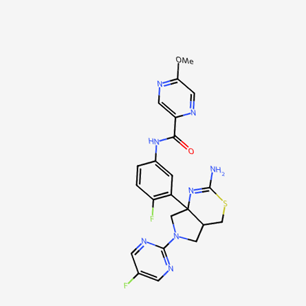 COc1cnc(C(=O)Nc2ccc(F)c(C34CN(c5ncc(F)cn5)CC3CSC(N)=N4)c2)cn1